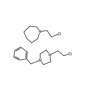 ClCCN1CCCCCC1.ClCCN1CCN(Cc2ccccc2)CC1